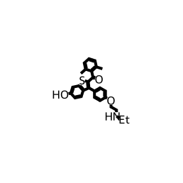 CCNCCOc1ccc(-c2c(C(=O)c3c(C)cccc3C)sc3cc(O)ccc23)cc1